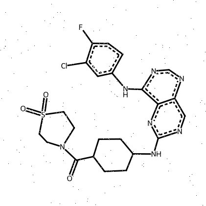 O=C(C1CCC(Nc2ncc3ncnc(Nc4ccc(F)c(Cl)c4)c3n2)CC1)N1CCS(=O)(=O)CC1